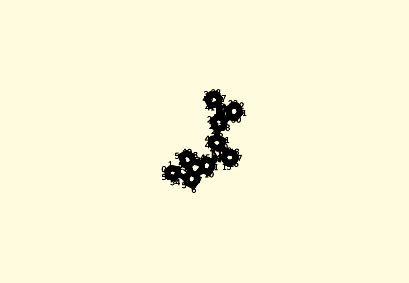 c1ccc(-c2cccc3c4ccc(-n5c6ccccc6c6cc(-c7ccc8c(c7)c7ccccc7n8-c7ccccc7)ccc65)cc4c4ccccc4c23)cc1